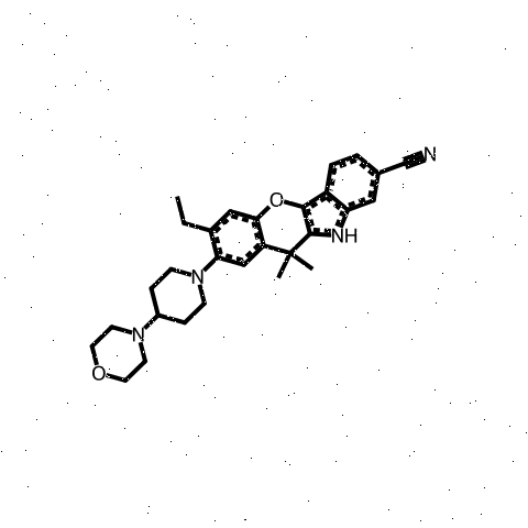 CCc1cc2c(cc1N1CCC(N3CCOCC3)CC1)C(C)(C)c1[nH]c3cc(C#N)ccc3c1O2